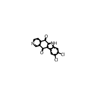 O=C1c2ccncc2C(=O)c2c1[nH]c1cc(Cl)c(Cl)cc21